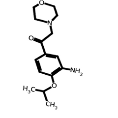 CC(C)Oc1ccc(C(=O)CN2CCOCC2)cc1N